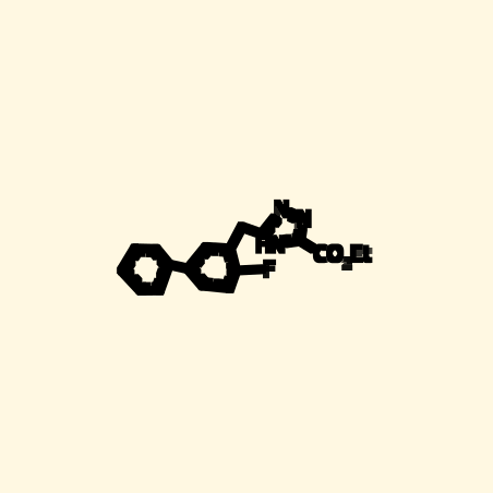 CCOC(=O)c1nnc(Cc2cc(-c3ccccc3)ccc2F)[nH]1